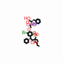 CCCC[C@]1(CC)CS(=O)(=O)c2cc(OCC(=O)N[C@H](Cc3ccccc3O)C(=O)O)c(Br)cc2[C@@H](c2ccccc2)[C@H]1O